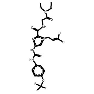 CCN(CC)C(=O)CNC(=O)c1nc(NC(=O)Nc2ccc(OC(F)(F)F)cc2)cn1CC=C(Cl)Cl